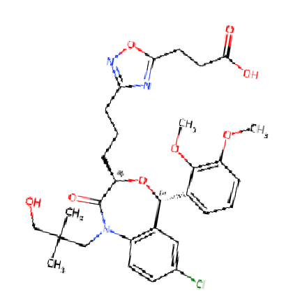 COc1cccc([C@H]2O[C@H](CCCc3noc(CCC(=O)O)n3)C(=O)N(CC(C)(C)CO)c3ccc(Cl)cc32)c1OC